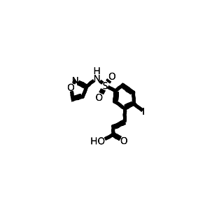 O=C(O)C=Cc1cc(S(=O)(=O)Nc2ccon2)ccc1I